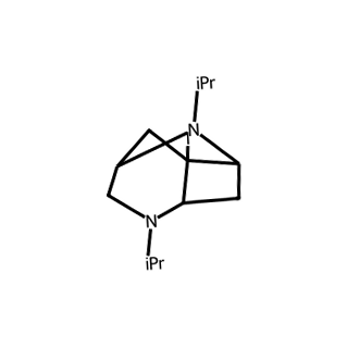 CC(C)N1CC2CC3(I)C1CC3N2C(C)C